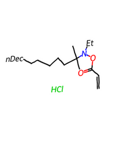 C=CC(=O)ON(CC)C(C)(C)CCCCCCCCCCCCCCC.Cl